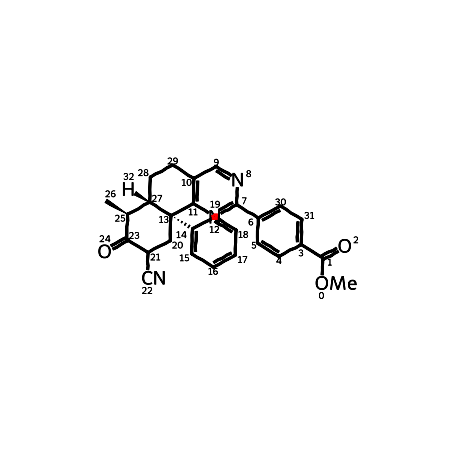 COC(=O)c1ccc(-c2ncc3c(n2)[C@@]2(c4ccccc4)CC(C#N)C(=O)[C@@H](C)[C@@H]2CC3)cc1